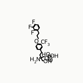 NC(CO)(CCc1ccc(OCCCc2ccc(F)c(F)c2F)c(C(F)(F)F)c1)COP(=O)(O)O